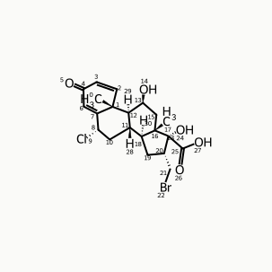 C[C@]12C=CC(=O)C=C1[C@@H](Cl)C[C@@H]1[C@@H]2[C@@H](O)C[C@@]2(C)[C@H]1C[C@@H](CBr)[C@]2(O)C(=O)O